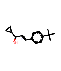 CC(C)(C)c1ccc(/C=C/C(O)C2CC2)cc1